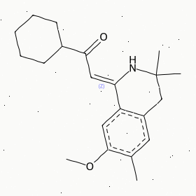 COc1cc2c(cc1C)CC(C)(C)N/C2=C\C(=O)C1CCCCC1